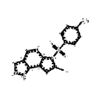 Cc1ccc(S(=O)(=O)n2c(I)cc3c4[nH]ncc4cnc32)cc1